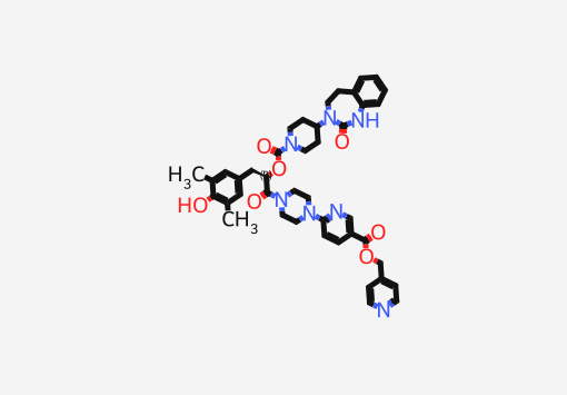 Cc1cc(C[C@@H](OC(=O)N2CCC(N3CCc4ccccc4NC3=O)CC2)C(=O)N2CCN(c3ccc(C(=O)OCc4ccncc4)cn3)CC2)cc(C)c1O